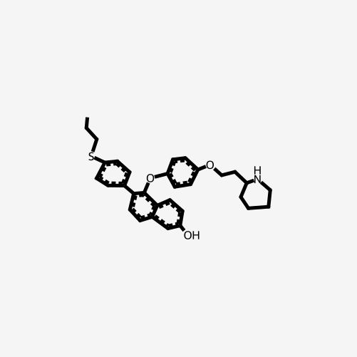 CCCSc1ccc(-c2ccc3cc(O)ccc3c2Oc2ccc(OCCC3CCCCN3)cc2)cc1